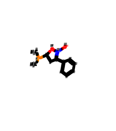 CP(C)C1CC(c2ccccc2)=[N+]([O-])O1